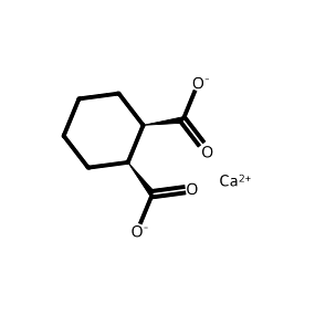 O=C([O-])[C@H]1CCCC[C@H]1C(=O)[O-].[Ca+2]